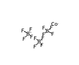 F[B-](F)(F)F.F[B-](F)(F)F.F[B-](F)(F)F.[Co]